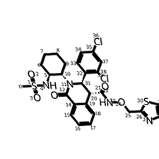 CS(=O)(=O)N[C@H]1CCCC[C@@H]1N1C(=O)c2ccccc2[C@@H](C(=O)NOCc2nccs2)[C@@H]1c1ccc(Cl)cc1Cl